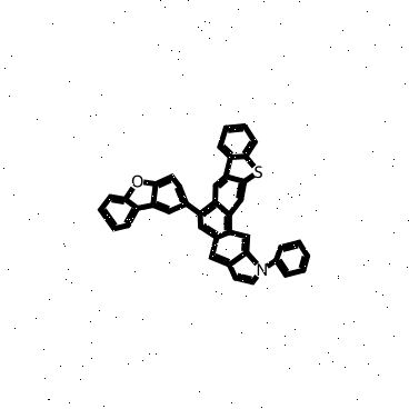 c1ccc(-n2ccc3cc4cc(-c5ccc6oc7ccccc7c6c5)c5cc6c(cc5c4cc32)sc2ccccc26)cc1